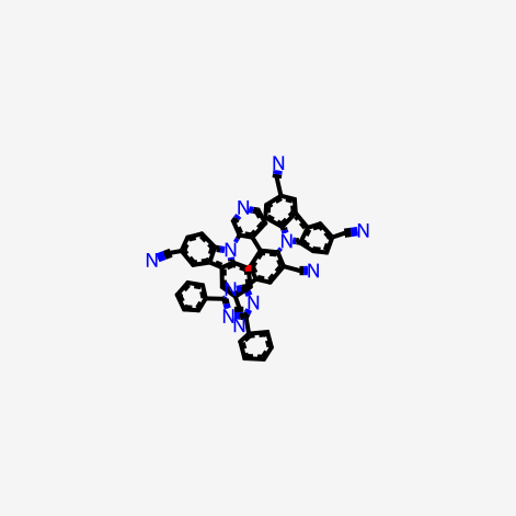 N#Cc1ccc2c(c1)c1cc(C#N)ccc1n2-c1cnccc1-c1cc(-c2nc(-c3ccccc3)nc(-c3ccccc3)n2)cc(C#N)c1-n1c2ccc(C#N)cc2c2cc(C#N)ccc21